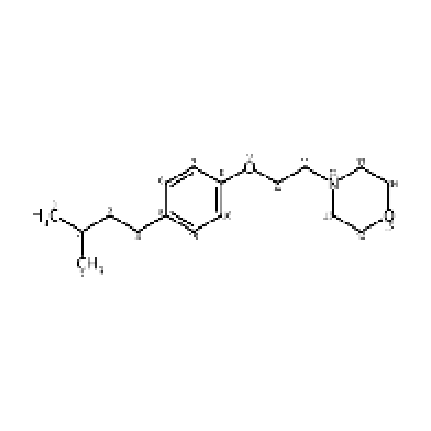 CC(C)CCc1ccc(OCCN2CCOCC2)cc1